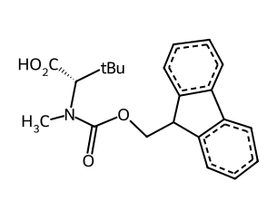 CN(C(=O)OCC1c2ccccc2-c2ccccc21)[C@H](C(=O)O)C(C)(C)C